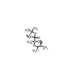 CCC(C)(O[Si](C)(C)C)[Si](C)(C)OC(C)[Si](C)=O